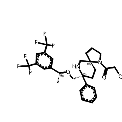 C[C@@H](OC[C@@]1(c2ccccc2)CC[C@]2(CCCN2C(=O)CCl)CN1)c1cc(C(F)(F)F)cc(C(F)(F)F)c1